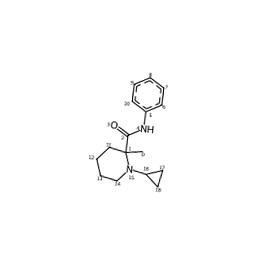 CC1(C(=O)Nc2ccccc2)CCCCN1C1CC1